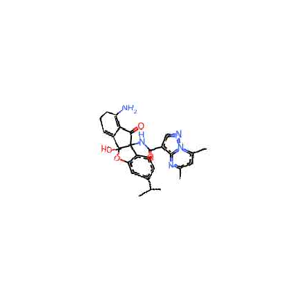 Cc1cc(C)n2ncc(C(=O)NC34C(=O)C5=C(N)CCC=C5C3(O)Oc3cc(C(C)C)ccc34)c2n1